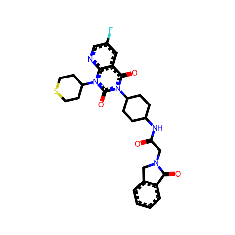 O=C(CN1Cc2ccccc2C1=O)NC1CCC(n2c(=O)c3cc(F)cnc3n(C3CCSCC3)c2=O)CC1